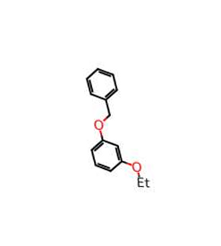 CCOc1cccc(OCc2ccccc2)c1